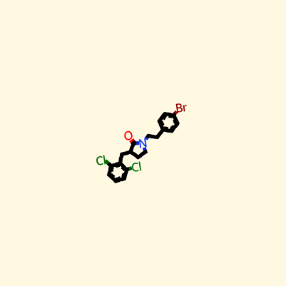 O=C1C(Cc2c(Cl)cccc2Cl)CCN1CCc1ccc(Br)cc1